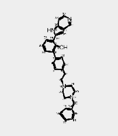 Oc1c(-c2ccc(CCN3CCN(Cc4ccccc4)CC3)cc2)cccc1-c1cc2cnccc2[nH]1